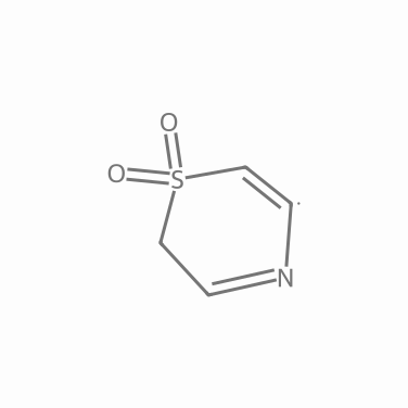 O=S1(=O)C=[C]N=CC1